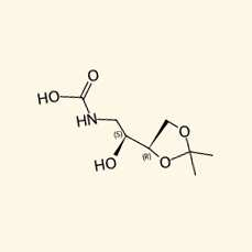 CC1(C)OC[C@H]([C@@H](O)CNC(=O)O)O1